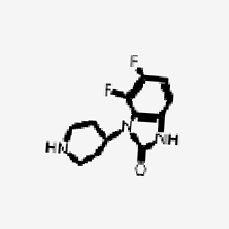 O=c1[nH]c2ccc(F)c(F)c2n1C1CCNCC1